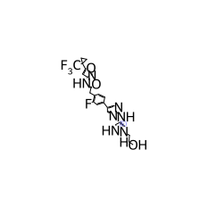 N=C/C(=C\NCCO)Nc1ncc(-c2ccc(CC(=O)Nc3cc(C4(C(F)(F)F)CC4)on3)c(F)c2)cn1